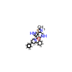 Cc1nc2c(s1)[C@]1(CCNC2)CNC[C@H]1C(=O)N1CC[C@@H](c2ccccc2)C[C@H]1C1CCCCC1